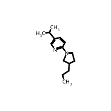 CCCC1CCN(c2ccc(C(C)C)cn2)C1